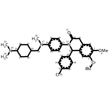 CCC(C)Oc1cc2c(cc1OC)CC(=O)N(c1ccc(N(C)CC3CCC(N(C)C)CC3)cc1)C2c1ccc(Cl)cc1